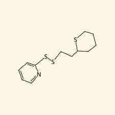 c1ccc(SSCCC2CCCCS2)nc1